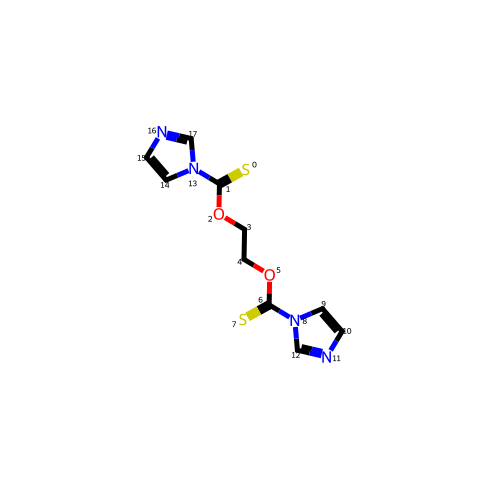 S=C(OCCOC(=S)n1ccnc1)n1ccnc1